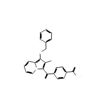 COC(=O)c1ccc(C(=O)c2c(C)c(OCc3ccccc3)c3ccccn23)cc1